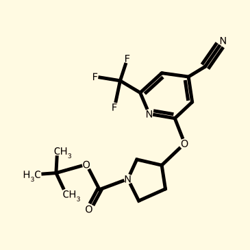 CC(C)(C)OC(=O)N1CCC(Oc2cc(C#N)cc(C(F)(F)F)n2)C1